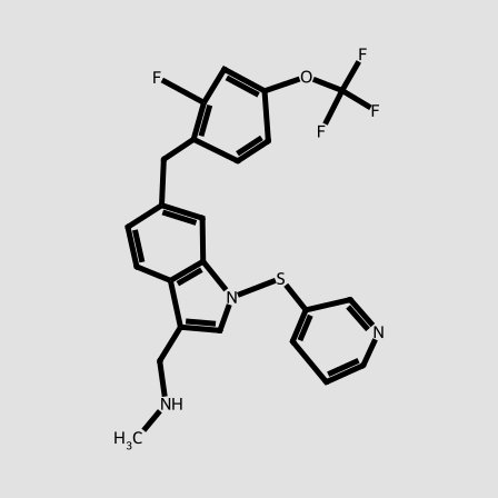 CNCc1cn(Sc2cccnc2)c2cc(Cc3ccc(OC(F)(F)F)cc3F)ccc12